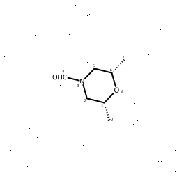 C[C@@H]1CN([C]=O)C[C@H](C)O1